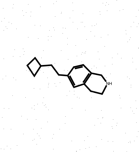 c1cc2c(cc1CCC1CCC1)CCNC2